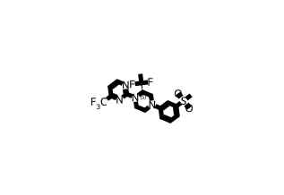 CC(F)(F)[C@@H]1CN(c2cccc(S(C)(=O)=O)c2)CCN1c1nccc(C(F)(F)F)n1